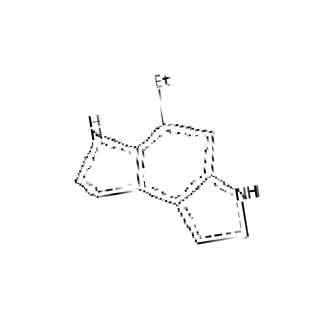 CCc1cc2[nH]ccc2c2cc[nH]c12